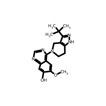 COc1cc2c(N3CCc4[nH]nc(C(C)(C)C)c4C3)ncnc2cc1O